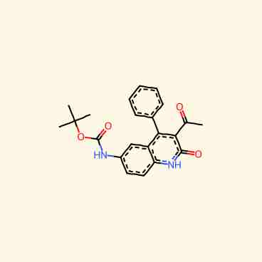 CC(=O)c1c(-c2ccccc2)c2cc(NC(=O)OC(C)(C)C)ccc2[nH]c1=O